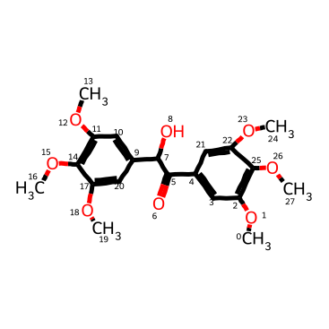 COc1cc(C(=O)C(O)c2cc(OC)c(OC)c(OC)c2)cc(OC)c1OC